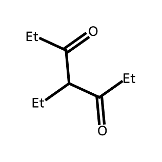 CCC(=O)C(CC)C(=O)CC